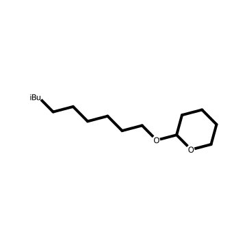 CCC(C)CCCCCCOC1CCCCO1